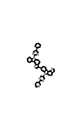 c1ccc(-c2cnc(-n3c4ccccc4c4c5scc(-c6ccc7c8c9sccc9ccc8n(-c8cnc(-c9cccnc9)nc8)c7c6)c5ccc43)nc2)cc1